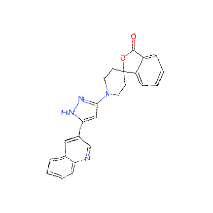 O=C1OC2(CCN(c3cc(-c4cnc5ccccc5c4)[nH]n3)CC2)c2ccccc21